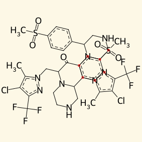 Cc1c(Cl)c(C(F)(F)F)nn1CC(C(=O)C(Cn1nc(C(F)(F)F)c(Cl)c1C)N1CCNCC1c1ccc(S(C)(=O)=O)cc1)N1CCNCC1c1ccc(S(C)(=O)=O)cc1